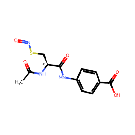 CC(=O)N[C@@H](CSN=O)C(=O)Nc1ccc(C(=O)O)cc1